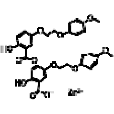 COc1ccc(OCCOc2ccc(O)c(C(=O)[O-])c2)cc1.COc1ccc(OCCOc2ccc(O)c(C(=O)[O-])c2)cc1.[Zn+2]